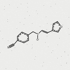 N#Cc1ccc(C[S+]([O-])/C=C/c2ccoc2)cc1